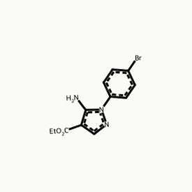 CCOC(=O)c1cnn(-c2ccc(Br)cc2)c1N